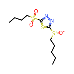 CCCCC[S+]([O-])c1nnc(S(=O)(=O)CCCC)s1